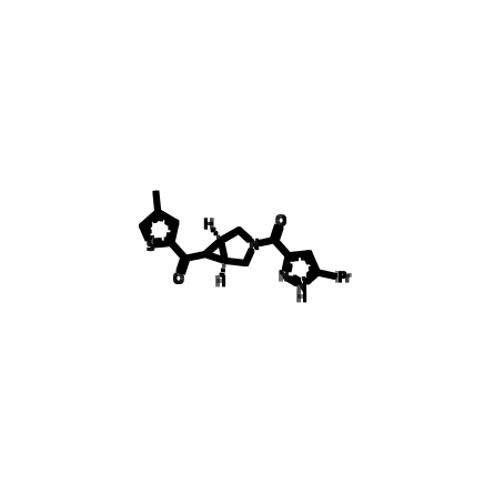 Cc1csc(C(=O)C2[C@H]3CN(C(=O)c4cc(C(C)C)[nH]n4)C[C@@H]23)c1